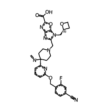 C=NC1(c2cccc(OCc3ccc(C#N)cc3F)n2)CCN(Cc2nc3nc(C(=O)O)oc3n2C[C@@H]2CCO2)CC1